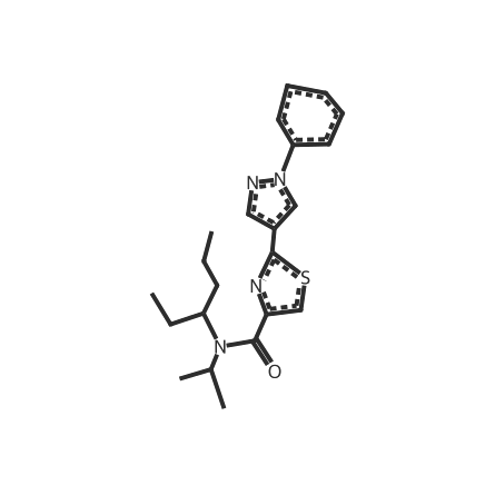 CCCC(CC)N(C(=O)c1csc(-c2cnn(-c3ccccc3)c2)n1)C(C)C